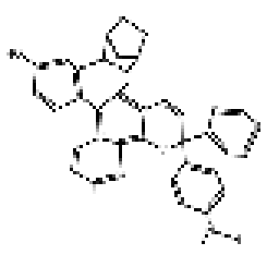 Cc1ccc2c(-c3ccc(O)cc3C3CC4CCC3C4)c(C)c3c(c2c1)OC(c1ccccc1)(c1ccc(N(C)I)cc1)C=C3